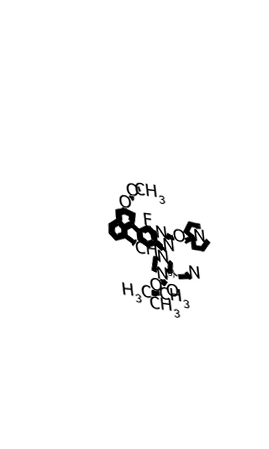 C#Cc1cccc2cc(OCOC)cc(-c3ccc4c(N5CCN(C(=O)OC(C)(C)C)[C@@H](CC#N)C5)nc(OCC56CCCN5CCC6)nc4c3F)c12